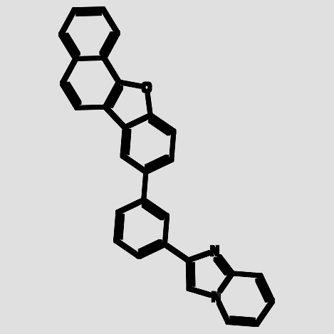 c1cc(-c2ccc3oc4c5ccccc5ccc4c3c2)cc(-c2cn3ccccc3n2)c1